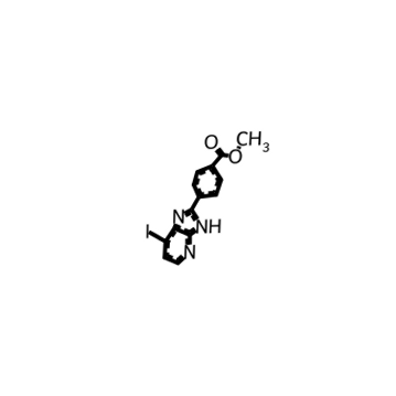 COC(=O)c1ccc(-c2nc3c(I)ccnc3[nH]2)cc1